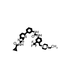 CCN1CCN(Cc2ccc(NC(=O)Nc3cccc(-c4ccc5nc(NC(=O)C6CC6)sc5n4)c3)cc2C(F)(F)F)CC1